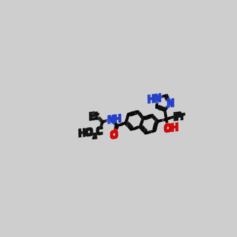 CCC(NC(=O)c1ccc2cc(C(O)(c3c[nH]cn3)C(C)C)ccc2c1)C(=O)O